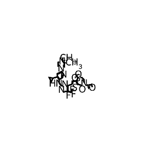 CC1CN(c2cc(C3CC3)c(Nc3ncc(C(F)(F)F)c(-c4cc5c(s4)C(=O)N(C4COC4)CCS5(=O)=O)n3)cn2)CCN1C